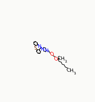 C=C(CCCCCCC)OCCOCCN1CCN(C2=Nc3ccccc3Sc3ccccc32)CC1